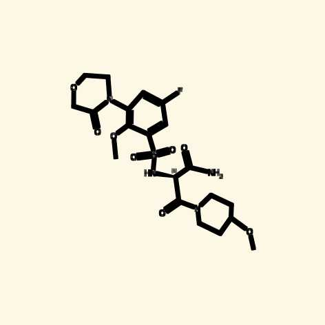 COc1c(N2CCOCC2=O)cc(F)cc1S(=O)(=O)N[C@@H](C(N)=O)C(=O)N1CCC(OC)CC1